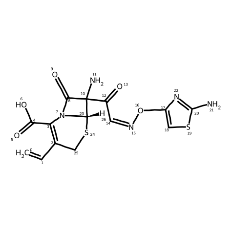 C=CC1=C(C(=O)O)N2C(=O)C(N)(C(=O)/C=N\Oc3csc(N)n3)[C@@H]2SC1